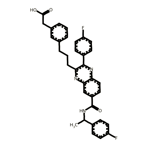 CC(NC(=O)c1ccc2nc(-c3ccc(F)cc3)c(CCCc3cccc(CC(=O)O)c3)nc2c1)c1ccc(F)cc1